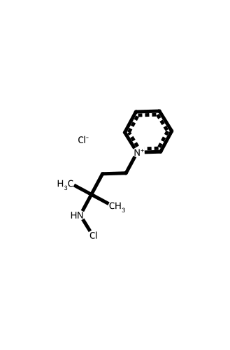 CC(C)(CC[n+]1ccccc1)NCl.[Cl-]